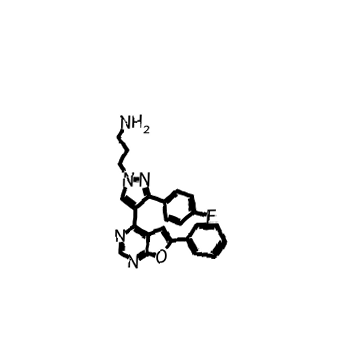 NCCCn1cc(-c2ncnc3oc(-c4ccccc4)cc23)c(-c2ccc(F)cc2)n1